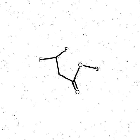 O=C(CC(F)F)OBr